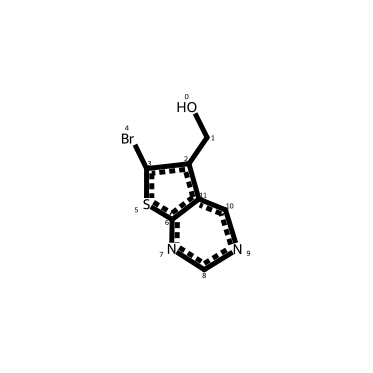 OCc1c(Br)sc2ncncc12